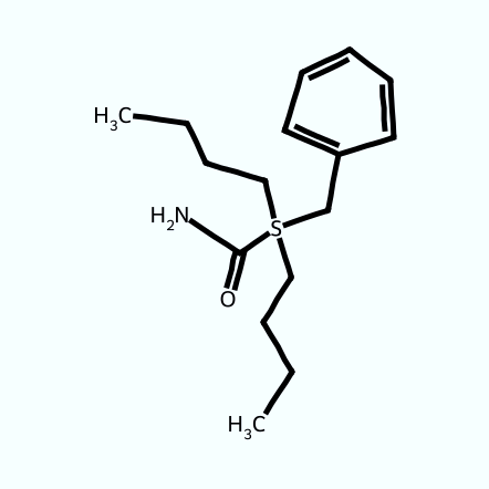 CCCCS(CCCC)(Cc1ccccc1)C(N)=O